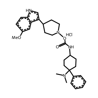 COc1ccc2[nH]cc(C3CCN(OC(=O)NC4CCC(c5ccccc5)(N(C)C)CC4)CC3)c2c1.Cl